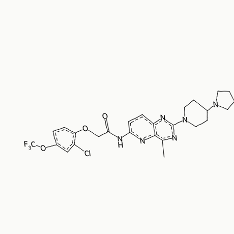 Cc1nc(N2CCC(N3CCCC3)CC2)nc2ccc(NC(=O)COc3ccc(OC(F)(F)F)cc3Cl)nc12